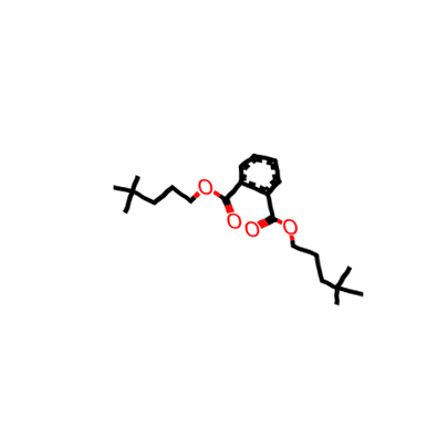 CC(C)(C)CCCOC(=O)c1ccccc1C(=O)OCCCC(C)(C)C